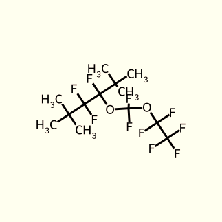 CC(C)(C)C(F)(F)C(F)(OC(F)(F)OC(F)(F)C(F)(F)F)C(C)(C)C